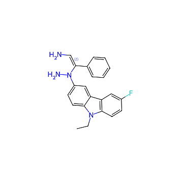 CCn1c2ccc(F)cc2c2cc(N(N)/C(=C\N)c3ccccc3)ccc21